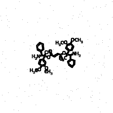 COc1ccc(C(C)(OC(=O)/C=C/C(=O)OC(C)(c2ccc(OC)c(OC)c2)C(N)c2ccccc2)C(N)c2ccccc2)cc1OC